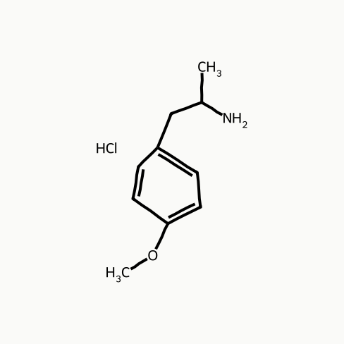 COc1ccc(CC(C)N)cc1.Cl